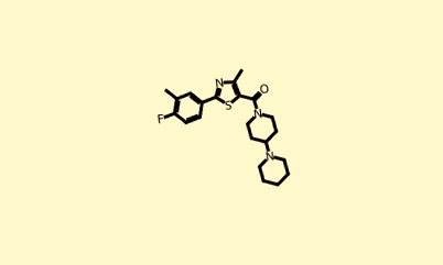 Cc1cc(-c2nc(C)c(C(=O)N3CCC(N4CCCCC4)CC3)s2)ccc1F